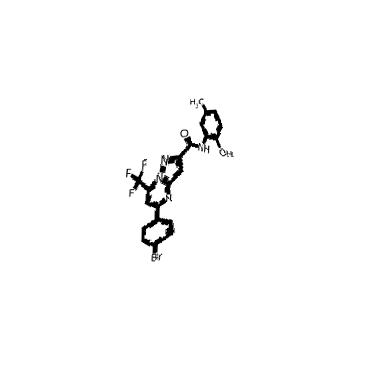 Cc1ccc(O)c(NC(=O)c2cc3nc(-c4ccc(Br)cc4)cc(C(F)(F)F)n3n2)c1